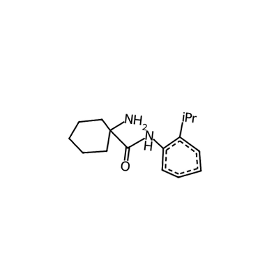 CC(C)c1ccccc1NC(=O)C1(N)CCCCC1